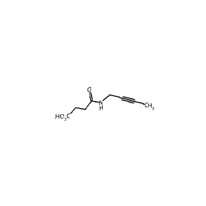 CC#CCNC(=O)CCC(=O)O